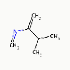 C=NC(=C)C(C)C